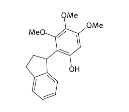 COc1cc(O)c(C2CCc3ccccc32)c(OC)c1OC